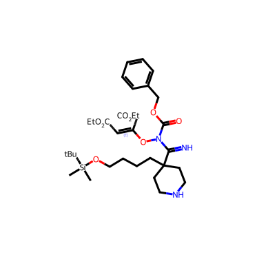 CCOC(=O)/C=C(/ON(C(=N)C1(CCCCO[Si](C)(C)C(C)(C)C)CCNCC1)C(=O)OCc1ccccc1)C(=O)OCC